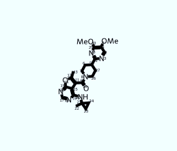 COc1cnc(C2CCN(C(=O)c3c(C)oc4ncnc(NC5(C)CC5)c34)CC2)nc1OC